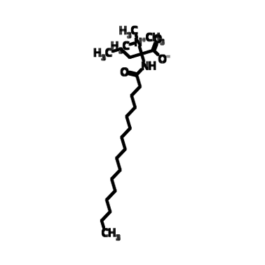 CCCCCCCCCCCCCCCC(=O)NC(CCC)(C(=O)[O-])[N+](C)(C)C